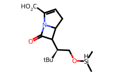 C[SiH](C)OC[C@H](C1C(=O)N2C(C(=O)O)=CCC12)C(C)(C)C